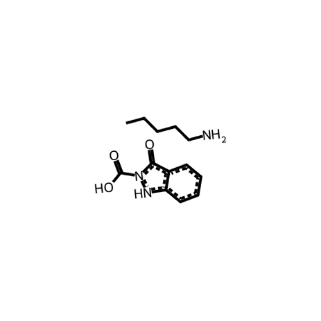 CCCCCN.O=C(O)n1[nH]c2ccccc2c1=O